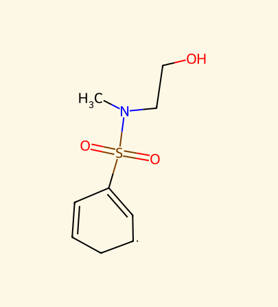 CN(CCO)S(=O)(=O)C1=C[CH]CC=C1